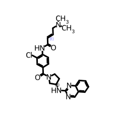 CN(C)C/C=C/C(=O)Nc1ccc(C(=O)N2CC[C@@H](Nc3ncc4ccccc4n3)C2)cc1Cl